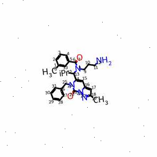 Cc1cccc(C(=O)N(CCCN)C(c2cc3cc(C)nn3c(=O)n2Cc2ccccc2)C(C)C)c1